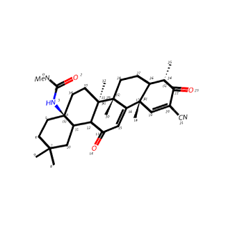 CNC(=O)N[C@]12CCC(C)(C)CC1C1C(=O)C=C3[C@@]4(C)C=C(C#N)C(=O)[C@@H](C)C4CC[C@@]3(C)[C@]1(C)CC2